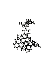 COc1cccc2c1-c1c(cc3c(N4CCN(C(=O)OC(C)(C)C)C[C@@H]4C)nc(=O)n(-c4c(C)ccnc4C(C)C)c3c1F)OC2